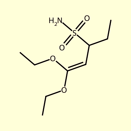 CCOC(=CC(CC)S(N)(=O)=O)OCC